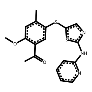 COc1cc(C)c(Sc2cnc(Nc3ccccn3)s2)cc1C(C)=O